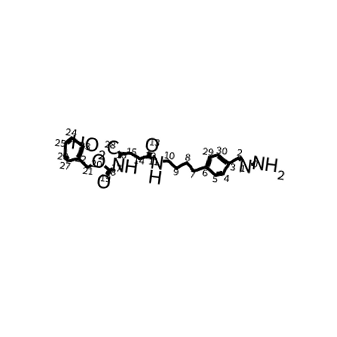 NN=Cc1ccc(CCCCNC(=O)CCC(NC(=O)OCc2ccccc2)C(=O)O)cc1